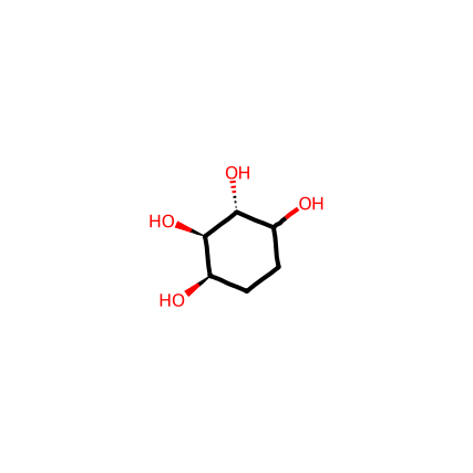 OC1CC[C@@H](O)[C@@H](O)[C@@H]1O